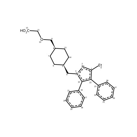 CCc1nn(C[C@H]2CC[C@@H](COCC(=O)O)CC2)c(-c2ccccc2)c1-c1ccccc1